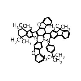 CC(C)(C)c1ccc(N2B3c4cc5c(cc4-n4c6cc7c(cc6c6c8oc9ccccc9c8c(c3c64)-c3cc4c(cc32)-c2ccccc2C4(C)C)C(C)(C)CCC7(C)C)oc2ccccc25)cc1